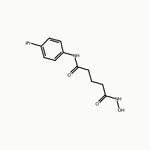 CC(C)c1ccc(NC(=O)CCCC(=O)NO)cc1